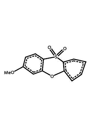 COc1ccc2c(c1)Oc1ccccc1S2(=O)=O